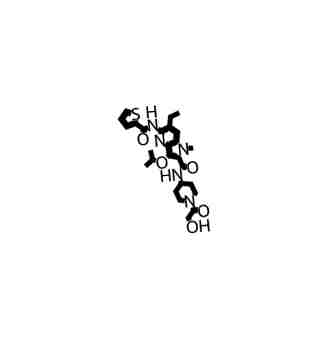 CCc1cc2c(nc1NC(=O)c1cccs1)c(OC(C)C)c(C(=O)NC1CCN(C(=O)CO)CC1)n2C